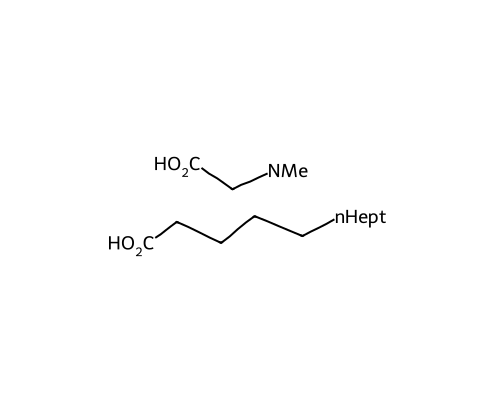 CCCCCCCCCCCC(=O)O.CNCC(=O)O